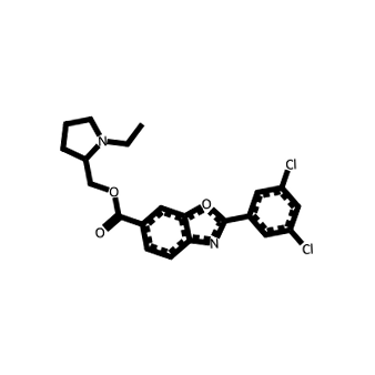 CCN1CCCC1COC(=O)c1ccc2nc(-c3cc(Cl)cc(Cl)c3)oc2c1